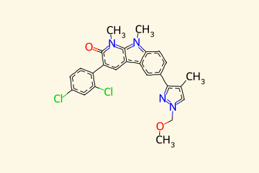 COCn1cc(C)c(-c2ccc3c(c2)c2cc(-c4ccc(Cl)cc4Cl)c(=O)n(C)c2n3C)n1